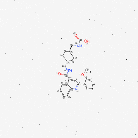 COc1ccccc1-c1cc(C(=O)NC[C@H]2CC[C@H](CNC(=O)O)CC2)c2ccccc2n1